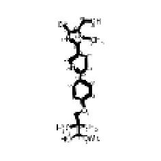 COC(O)C(C)(C)COc1ccc(-c2ccc(-c3nc(Cl)c(CO)n3C)cn2)cc1